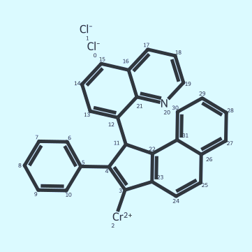 [Cl-].[Cl-].[Cr+2][C]1=C(c2ccccc2)C(c2cccc3cccnc23)c2c1ccc1ccccc21